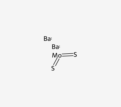 [Ba].[Ba].[S]=[Mo]=[S]